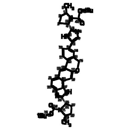 CC1CC[C@@H](c2ncc(-c3ccc4c(c3)COc3cc5c(ccc6nc([C@@H]7CCC(C)N7C(=O)OC(C)(C)C)[nH]c65)cc3-4)[nH]2)N1C(=O)OC(C)(C)C